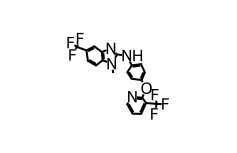 Cn1c(Nc2ccc(Oc3ncccc3C(F)(F)F)cc2)nc2cc(C(F)(F)F)ccc21